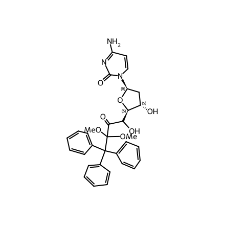 COC(OC)(C(=O)C(O)[C@H]1O[C@@H](n2ccc(N)nc2=O)C[C@@H]1O)C(c1ccccc1)(c1ccccc1)c1ccccc1